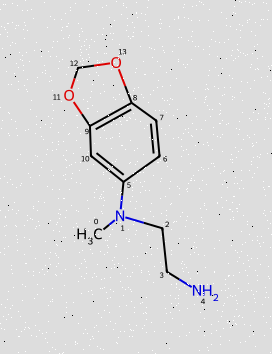 CN(CCN)c1ccc2c(c1)OCO2